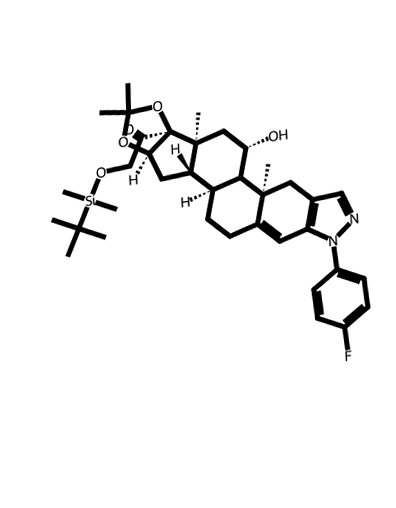 CC1(C)O[C@@H]2C[C@H]3[C@@H]4CCC5=Cc6c(cnn6-c6ccc(F)cc6)C[C@]5(C)C4[C@@H](O)C[C@]3(C)[C@]2(C(=O)CO[Si](C)(C)C(C)(C)C)O1